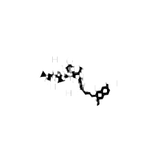 COc1cc2ccc(C)cc2cc1CCCC(C)(C)COC(=O)N[C@H](C(=O)N1C[C@@H](OC)C[C@H]1C(=O)NC1(C(=O)NS(=O)(=O)C2CC2)CC1)C(C)(C)C